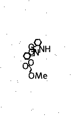 COC=CC(=O)Oc1ccccc1CN1CNc2ccccc2S1(=O)=O